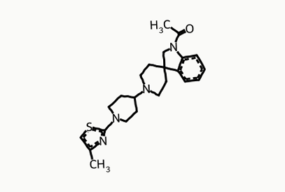 CC(=O)N1CC2(CCN(C3CCN(c4nc(C)cs4)CC3)CC2)c2ccccc21